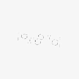 O=C(Oc1cccc2c(OC(=O)c3ccc(F)c(F)c3)cccc12)c1ccc(F)c(F)c1